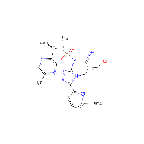 COc1cccc(-c2nnc(NS(=O)(=O)[C@@H](C)[C@H](OC)c3cnc(C)cn3)n2C/C(C=N)=C/O)n1